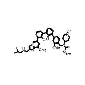 COc1nc(-c2cccc(-c3ccnc(-c4cc(OC)c5nc(CNCC(F)F)cn5c4)c3Cl)c2Cl)ccc1CN(C(=O)OC(C)(C)C)C1CCN(C(C)=O)CC1